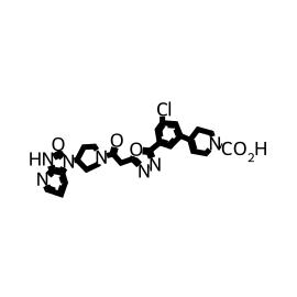 O=C(O)N1CC=C(c2cc(Cl)cc(-c3nnc(CC(=O)N4CCC(n5c(=O)[nH]c6ncccc65)CC4)o3)c2)CC1